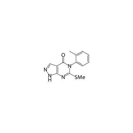 CSc1nc2[nH]ncc2c(=O)n1-c1ccccc1C